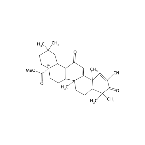 COC(=O)[C@@]12CCC3C(C(=O)C=C4C5(C)C=C(C#N)C(=O)C(C)(C)C5CCC43C)C1CC(C)(C)CC2